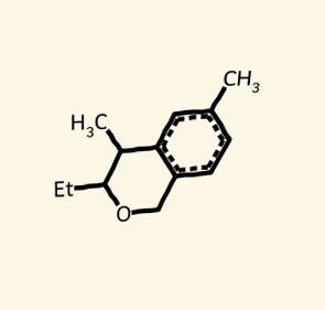 CCC1OCc2ccc(C)cc2C1C